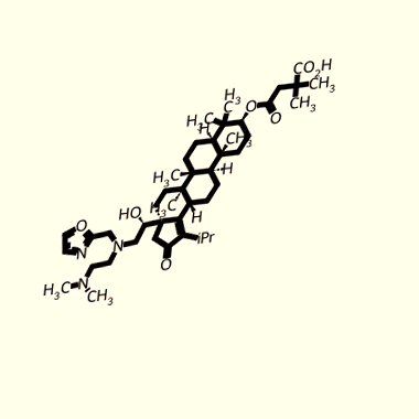 CC(C)C1=C2[C@H]3CC[C@@H]4[C@@]5(C)CC[C@H](OC(=O)CC(C)(C)C(=O)O)C(C)(C)[C@@H]5CC[C@@]4(C)[C@]3(C)CC[C@@]2([C@@H](O)CN(CCN(C)C)Cc2ncco2)CC1=O